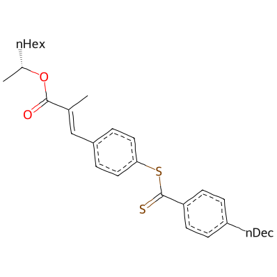 CCCCCCCCCCc1ccc(C(=S)Sc2ccc(/C=C(\C)C(=O)O[C@H](C)CCCCCC)cc2)cc1